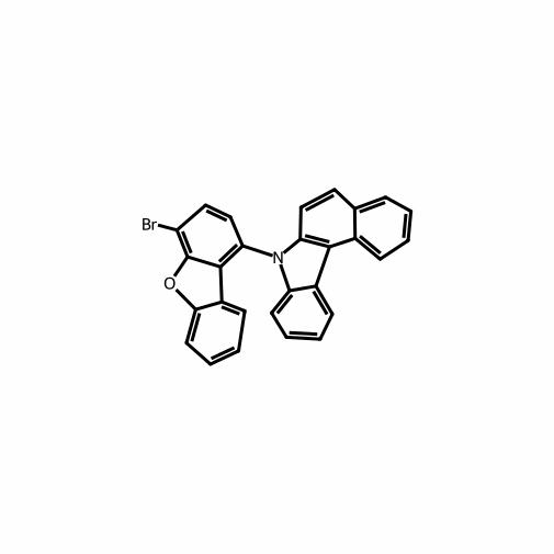 Brc1ccc(-n2c3ccccc3c3c4ccccc4ccc32)c2c1oc1ccccc12